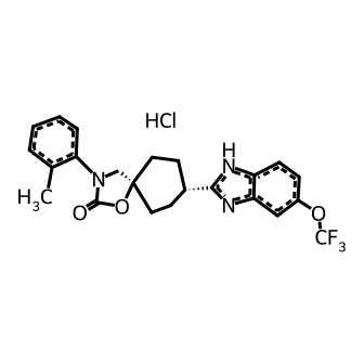 Cc1ccccc1N1C[C@]2(CC[C@@H](c3nc4cc(OC(F)(F)F)ccc4[nH]3)CC2)OC1=O.Cl